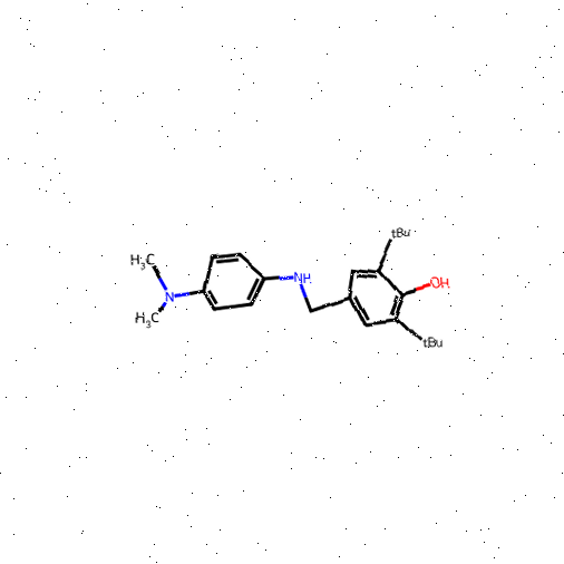 CN(C)c1ccc(NCc2cc(C(C)(C)C)c(O)c(C(C)(C)C)c2)cc1